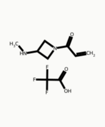 C=CC(=O)N1CC(NC)C1.O=C(O)C(F)(F)F